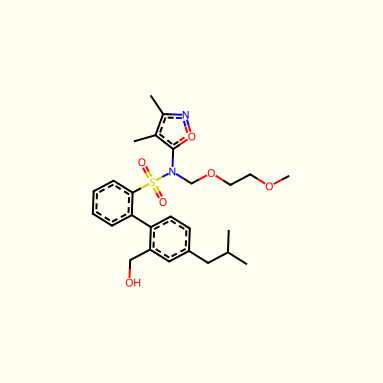 COCCOCN(c1onc(C)c1C)S(=O)(=O)c1ccccc1-c1ccc(CC(C)C)cc1CO